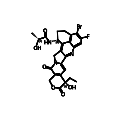 CC[C@@]1(O)C(=O)OCc2c1cc1n(c2=O)Cc2c-1nc1cc(F)c(Br)c3c1c2[C@H](NC(=O)[C@@H](C)O)CC3